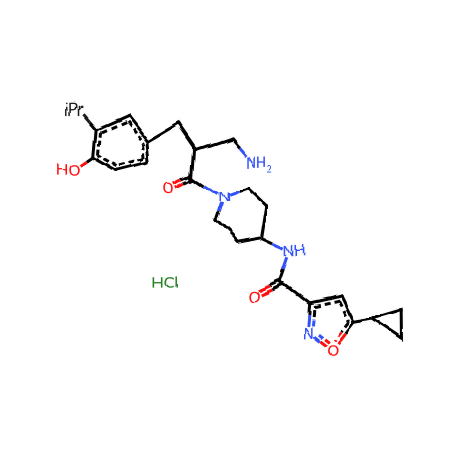 CC(C)c1cc(CC(CN)C(=O)N2CCC(NC(=O)c3cc(C4CC4)on3)CC2)ccc1O.Cl